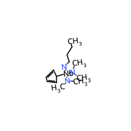 CCCC[N]=[Nb]([CH]1C=CC=C1)([N](C)C)[N](C)C